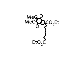 CCOC(=O)CCCCCCCC1(C(=O)OCC)CC2=C(C1)C(=O)C(OC)=C(OC)C2=O